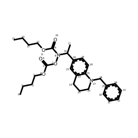 CCCCOC(=O)ON(C(=O)OCCCC)C(C)c1ccc2c(c1)CCCN2Cc1ccccc1